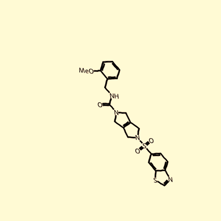 COc1ccccc1CNC(=O)N1CC2=C(C1)CN(S(=O)(=O)c1ccc3ncsc3c1)C2